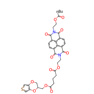 CCCCC(=O)OCCN1C(=O)c2ccc3c4c(ccc(c24)C1=O)C(=O)N(CCOC(=O)CCCC(=O)OCC1COc2cscc2O1)C3=O